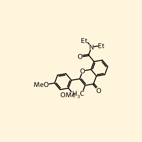 CCN(CC)C(=O)c1cccc2c(=O)c(C)c(-c3ccc(OC)cc3OC)oc12